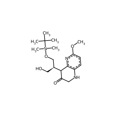 COc1ccc2c(n1)C([C@@H](CO)CO[Si](C)(C)C(C)(C)C)C(=O)CN2